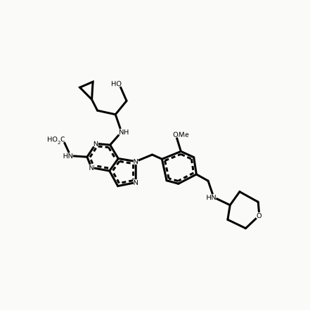 COc1cc(CNC2CCOCC2)ccc1Cn1ncc2nc(NC(=O)O)nc(NC(CO)CC3CC3)c21